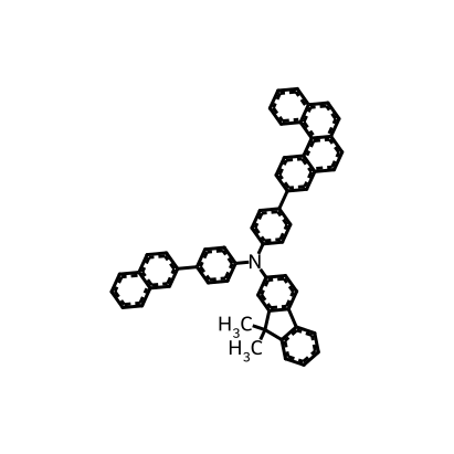 CC1(C)c2ccccc2-c2ccc(N(c3ccc(-c4ccc5ccccc5c4)cc3)c3ccc(-c4ccc5c(ccc6ccc7ccccc7c65)c4)cc3)cc21